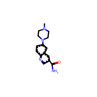 CN1CCN(c2ccc3ncc(C(N)=O)cc3c2)CC1